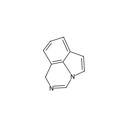 C1=NCc2cccc3ccn1c23